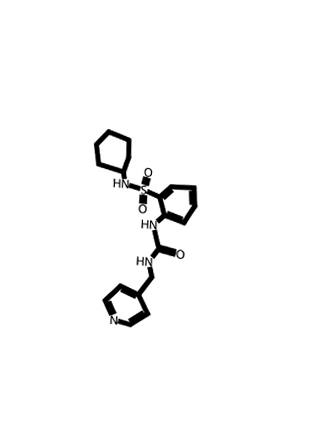 O=C(NCc1ccncc1)Nc1ccccc1S(=O)(=O)NC1CCCCC1